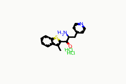 Cc1c(C(=O)C(N)Cc2ccncc2)sc2ccccc12.Cl.Cl